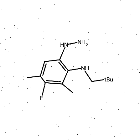 Cc1cc(NN)c(NCC(C)(C)C)c(C)c1F